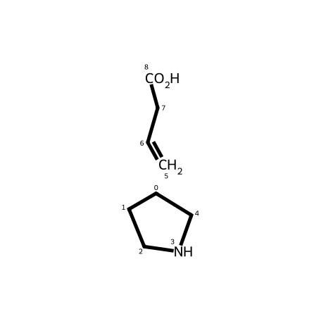 C1CCNC1.C=CCC(=O)O